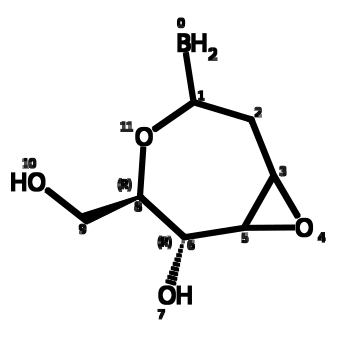 BC1CC2OC2[C@H](O)[C@@H](CO)O1